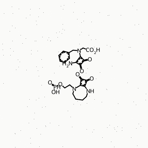 Nc1c(N(CC(=O)O)Cc2ccccc2)c(=O)c1=O.O=c1c2c(c1=O)N(CCO[PH](=O)O)CCCCN2